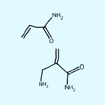 C=C(CN)C(N)=O.C=CC(N)=O